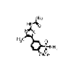 CCCCC(=O)Nc1nc(C)c(-c2ccc(OC)c(S(N)(=O)=O)c2)s1